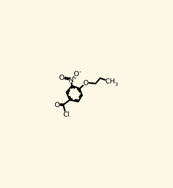 CCCOc1ccc(C(=O)Cl)cc1[N+](=O)[O-]